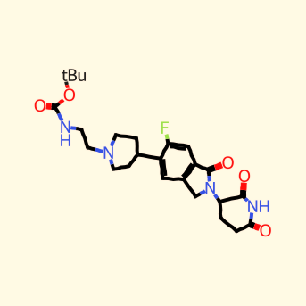 CC(C)(C)OC(=O)NCCN1CCC(c2cc3c(cc2F)C(=O)N(C2CCC(=O)NC2=O)C3)CC1